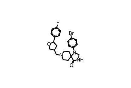 O=C1NCN(c2ccc(Br)cc2)C12CCN(CC1COC(c3ccc(F)cc3)C1)CC2